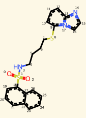 O=S(=O)(NCCCCSc1cccc2nccn12)c1cccc2ccccc12